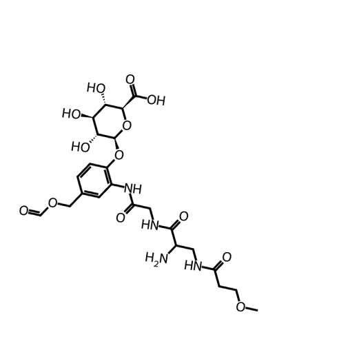 COCCC(=O)NCC(N)C(=O)NCC(=O)Nc1cc(COC=O)ccc1O[C@@H]1O[C@H](C(=O)O)[C@@H](O)[C@H](O)[C@H]1O